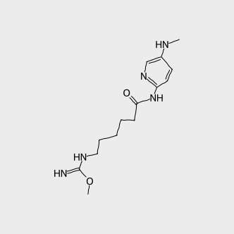 CNc1ccc(NC(=O)CCCCCNC(=N)OC)nc1